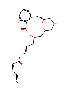 CC/C=C/C=C\C(=O)N/C=C/CC1CC2C[C@H](O)C[C@H](Cc3cccc(O)c3C(=O)O1)O2